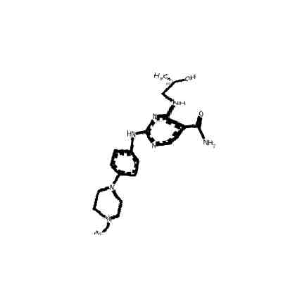 CC(=O)N1CCN(c2ccc(Nc3ncc(C(N)=O)c(NC[C@H](C)O)n3)cc2)CC1